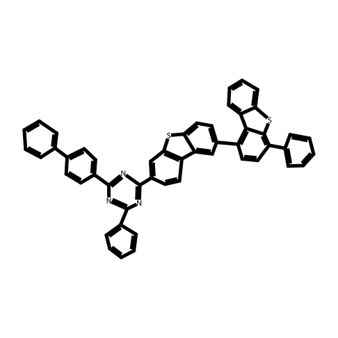 c1ccc(-c2ccc(-c3nc(-c4ccccc4)nc(-c4ccc5c(c4)sc4ccc(-c6ccc(-c7ccccc7)c7sc8ccccc8c67)cc45)n3)cc2)cc1